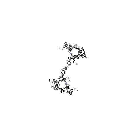 COc1ccc(C[C@H]2NC(=O)/C=C/C[C@@H]([C@H](C)[C@H]3O[C@@H]3c3ccc(CSSCc4ccc([C@H]5O[C@@H]5[C@@H](C)[C@@H]5C/C=C/C(=O)N[C@H](Cc6ccc(OC)c(Cl)c6)C(=O)NCC(C)(C)C(=O)O[C@@H](CC(C)C)C(=O)O5)cc4)cc3)OC(=O)[C@H](CC(C)C)OC(=O)C(C)(C)CNC2=O)cc1Cl